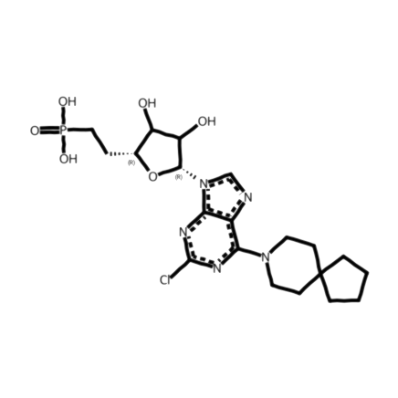 O=P(O)(O)CC[C@H]1O[C@@H](n2cnc3c(N4CCC5(CCCC5)CC4)nc(Cl)nc32)C(O)C1O